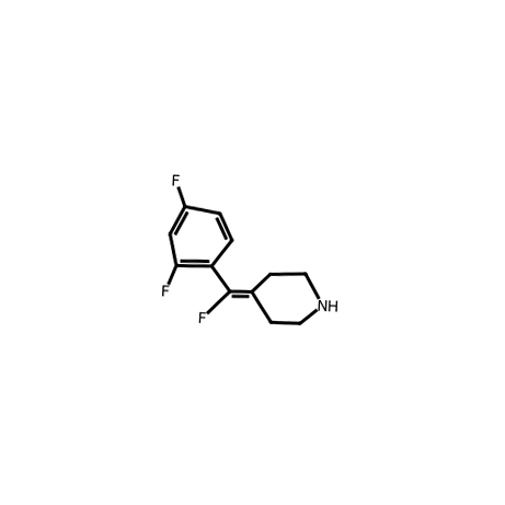 FC(=C1CCNCC1)c1ccc(F)cc1F